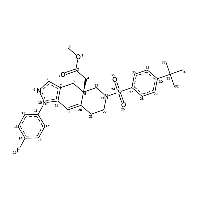 COC(=O)C[C@]12Cc3cnn(-c4ccc(F)cc4)c3C=C1CCN(S(=O)(=O)c1ccc(C(C)(C)C)cc1)C2